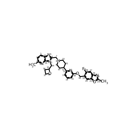 Cc1ccc2nc(CN3CCC(c4cccc(OCc5cc6oc(C)nc6cc5F)n4)CC3)n(CC3CCO3)c2n1